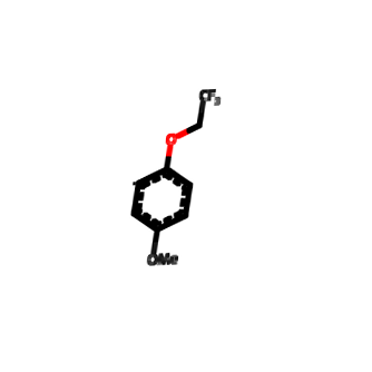 COc1c[c]c(OCC(F)(F)F)cc1